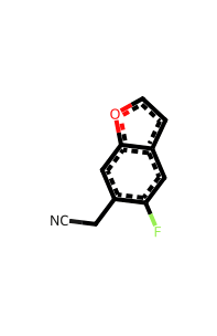 N#CCc1cc2occc2cc1F